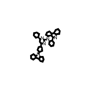 c1ccc(-c2cc(-c3ccc(-n4c5ccccc5c5ccccc54)cc3)nc(N3c4ccccc4-c4nc5ccccc5c5cccc3c45)n2)cc1